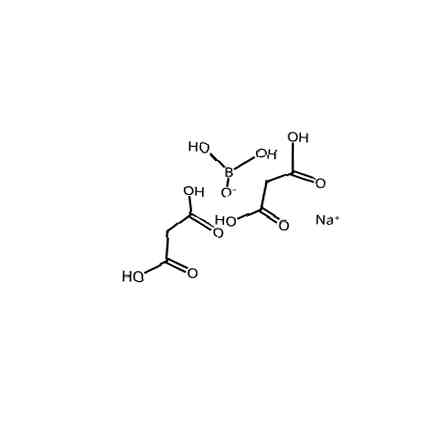 O=C(O)CC(=O)O.O=C(O)CC(=O)O.[Na+].[O-]B(O)O